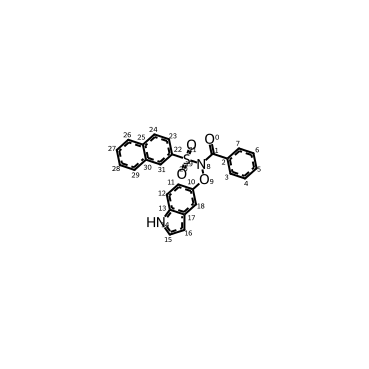 O=C(c1ccccc1)N(Oc1ccc2[nH]ccc2c1)S(=O)(=O)c1ccc2ccccc2c1